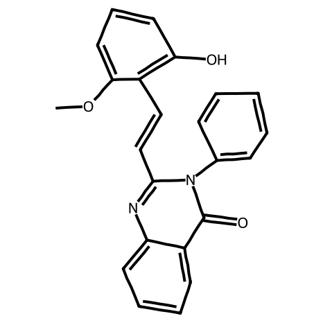 COc1cccc(O)c1C=Cc1nc2ccccc2c(=O)n1-c1ccccc1